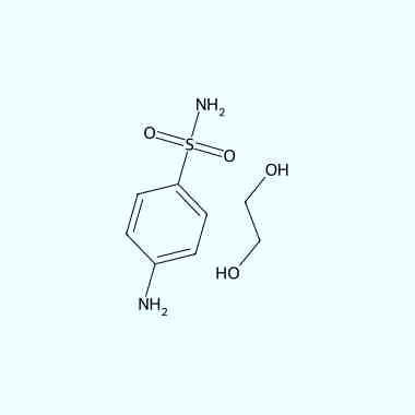 Nc1ccc(S(N)(=O)=O)cc1.OCCO